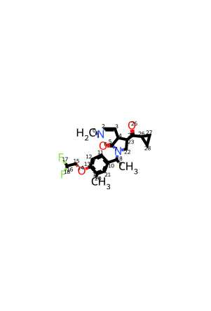 C=N/C=C\C1C(=O)N(C(C)c2ccc(OCC(F)F)c(C)c2)CC1C(=O)C1CC1